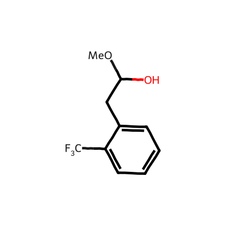 COC(O)Cc1ccccc1C(F)(F)F